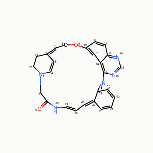 O=C1CN2C=C/C(=C\COc3ccc4ncnc(c4c3)\N=c3/cccc/c3=C\C=C\N1)CC2